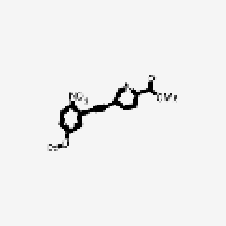 CCOc1ccc([N+](=O)[O-])c(C#Cc2ccc(C(=O)OC)nc2)c1